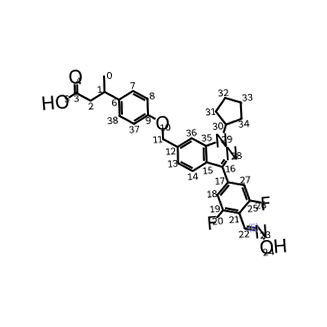 CC(CC(=O)O)c1ccc(OCc2ccc3c(-c4cc(F)c(/C=N/O)c(F)c4)nn(C4CCCC4)c3c2)cc1